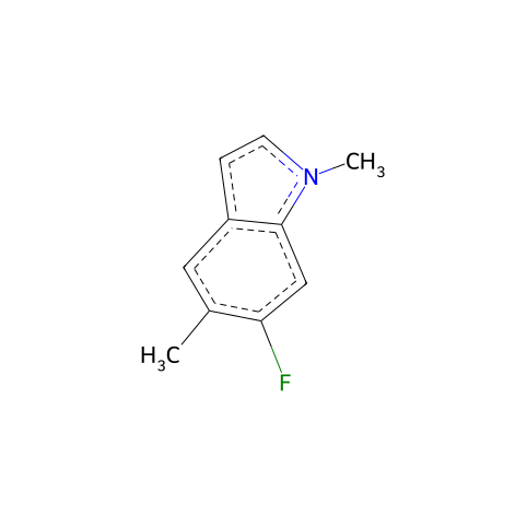 Cc1cc2ccn(C)c2cc1F